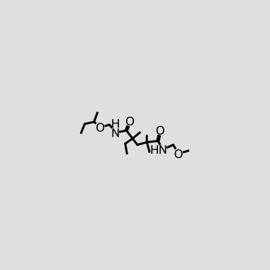 CCC(C)OCNC(=O)C(C)(CC)CC(C)(C)C(=O)NCOC